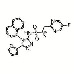 C[C@H](Cc1ncc(F)cn1)S(=O)(=O)Nc1nnc(-c2ccco2)n1-c1cccc2ccccc12